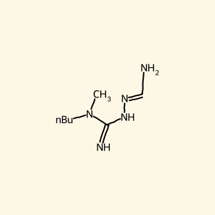 CCCCN(C)C(=N)N/N=C/N